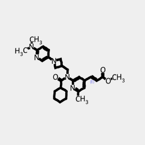 COC(=O)/C=C/c1cc(C)nc(N(CC2CN(c3ccc(N(C)C)nc3)C2)C(=O)C2CCCCC2)c1